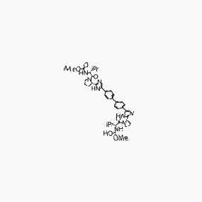 COC(=O)N[C@H](C(=O)N1CCC[C@@H]1c1ncc(-c2ccc(-c3ccc(-c4cnc([C@H]5CCCN5C(=O)[C@@H](NC(O)OC)C(C)C)[nH]4)cc3)cc2)[nH]1)C(C)C